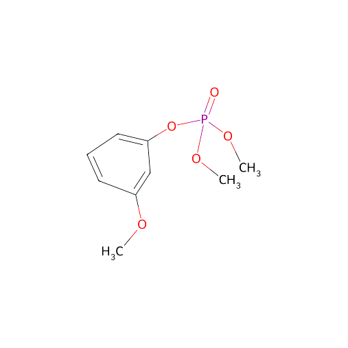 COc1cccc(OP(=O)(OC)OC)c1